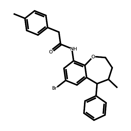 Cc1ccc(CC(=O)Nc2cc(Br)cc3c2OCCC(C)C3c2ccccc2)cc1